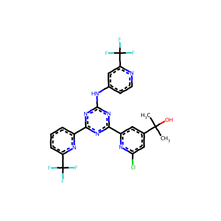 CC(C)(O)c1cc(Cl)nc(-c2nc(Nc3ccnc(C(F)(F)F)c3)nc(-c3cccc(C(F)(F)F)n3)n2)c1